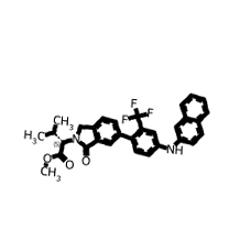 COC(=O)[C@H](C(C)C)N1Cc2ccc(-c3ccc(Nc4ccc5ccccc5c4)cc3C(F)(F)F)cc2C1=O